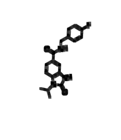 CC(C)n1c(=O)[nH]c2cc(C(=O)NCc3ccc(F)cc3)ccc21